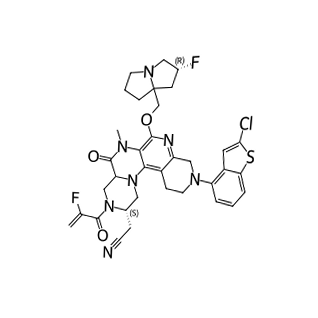 C=C(F)C(=O)N1CC2C(=O)N(C)c3c(OCC45CCCN4C[C@H](F)C5)nc4c(c3N2C[C@@H]1CC#N)CCN(c1cccc2sc(Cl)cc12)C4